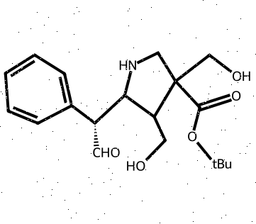 CC(C)(C)OC(=O)C1(CO)CNC([C@H](C=O)c2ccccc2)C1CO